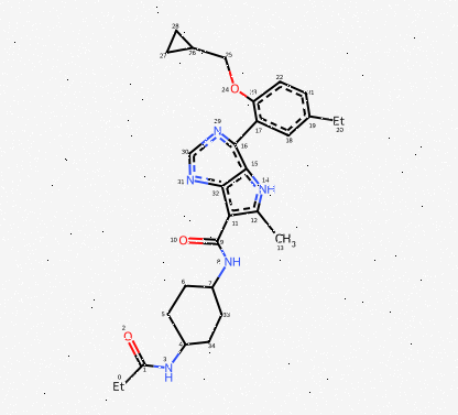 CCC(=O)NC1CCC(NC(=O)c2c(C)[nH]c3c(-c4cc(CC)ccc4OCC4CC4)ncnc23)CC1